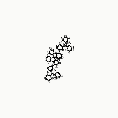 C1=CC2=C(CC1)c1c(-c3cccc(N(c4ccccc4)c4ccccc4)c3)cccc1C21c2ccccc2-c2c(-c3cccc(N(c4ccccc4)c4ccccc4)c3)cccc21